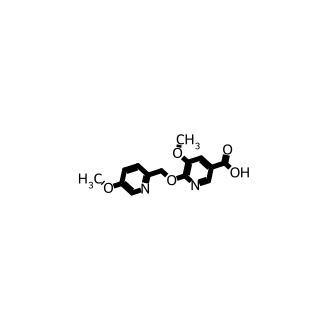 COc1ccc(COc2ncc(C(=O)O)cc2OC)nc1